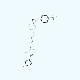 CN1C(c2cnn(C)c2)=NNC1SCCCN1CC[C@]2(C[C@@H]2c2ccc(C(F)(F)F)cc2)C1